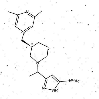 CC(=O)Nc1cc(C(C)N2CCC[C@H](Cc3cc(C)nc(C)c3)C2)n[nH]1